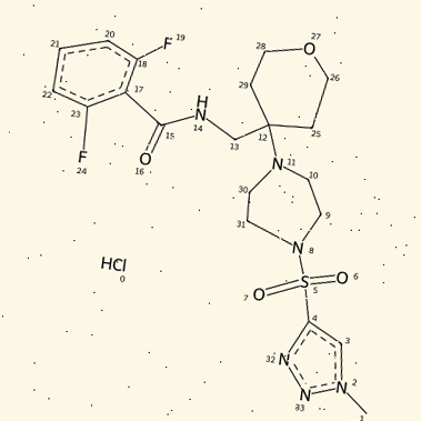 Cl.Cn1cc(S(=O)(=O)N2CCN(C3(CNC(=O)c4c(F)cccc4F)CCOCC3)CC2)nn1